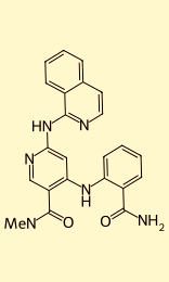 CNC(=O)c1cnc(Nc2nccc3ccccc23)cc1Nc1ccccc1C(N)=O